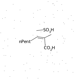 CCCCC/C=C(/C)C(=O)O.CS(=O)(=O)O